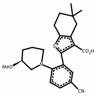 CO[C@H]1CCCN(c2ccc(C#N)cc2-c2sc3c(c2C(=O)O)CC(C)(C)CC3)C1